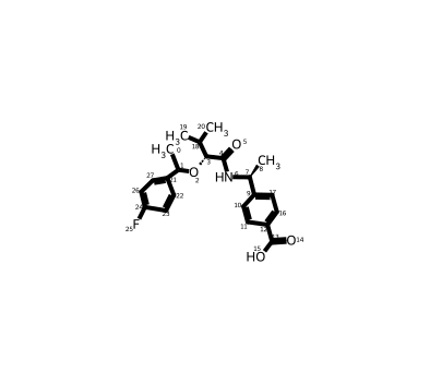 CC(O[C@@H](C(=O)N[C@@H](C)c1ccc(C(=O)O)cc1)C(C)C)c1ccc(F)cc1